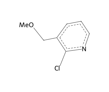 COCc1cccnc1Cl